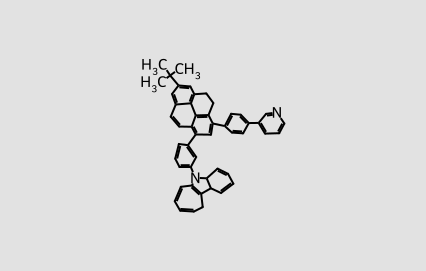 CC(C)(C)c1cc2c3c(ccc4c(-c5cccc(N6C7=C(CC=CC=C7)C7C=CC=CC76)c5)cc(-c5ccc(-c6cccnc6)cc5)c(c43)CC2)c1